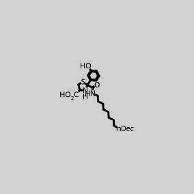 CCCCCCCCCCCCCCCCCCNC(=O)C1(c2cccc(O)c2)NC(C(=O)O)CS1